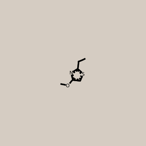 CCc1nc(OC)cs1